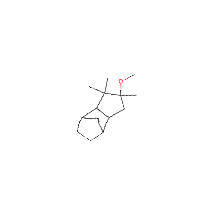 COC1(C)CC2C3CCC(C3)C2C1(C)C